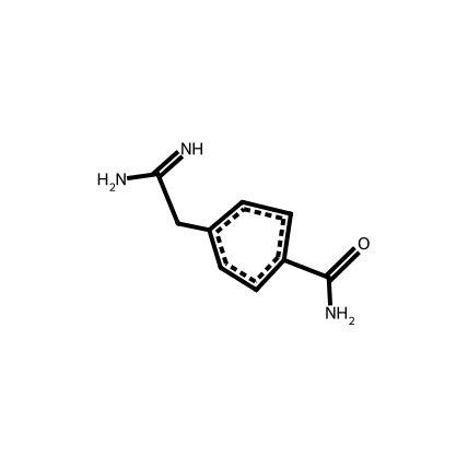 N=C(N)Cc1ccc(C(N)=O)cc1